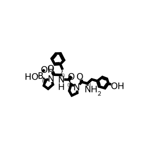 N[C@@H](Cc1ccc(O)cc1)C(=O)N1CCC[C@H]1C(=O)N[C@@H](Cc1ccccc1)C(=O)N1CCC[C@H]1B(O)O